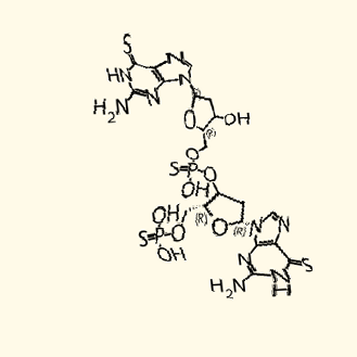 Nc1nc2c(ncn2[C@H]2CC(O)[C@@H](COP(O)(=S)OC3C[C@H](n4cnc5c(=S)[nH]c(N)nc54)O[C@@H]3COP(O)(O)=S)O2)c(=S)[nH]1